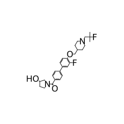 CC(C)(F)CN1CCC(COc2ccc(-c3ccc(C(=O)N4CC[C@@H](O)C4)cc3)cc2F)CC1